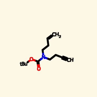 C#CCCN(CCC=C)C(=O)OC(C)(C)C